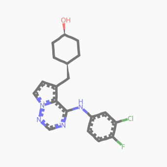 O[C@H]1CC[C@@H](Cc2ccn3ncnc(Nc4ccc(F)c(Cl)c4)c23)CC1